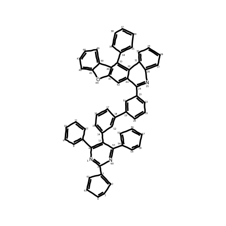 c1ccc(-c2nc(-c3ccccc3)c(-c3cccc(-c4cccc(-c5nc6ccccc6c6c(-c7ccccc7)c7c(cc56)oc5ccccc57)c4)c3)c(-c3ccccc3)n2)cc1